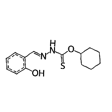 Oc1ccccc1/C=N/NC(=S)OC1CCCCC1